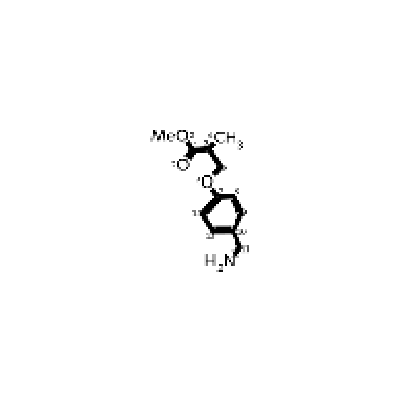 COC(=O)C(C)COc1ccc(CN)cc1